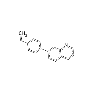 C=Cc1ccc(-c2ccc3cccnc3c2)cc1